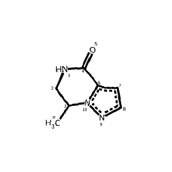 CC1CNC(=O)c2ccnn21